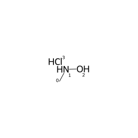 CNO.Cl